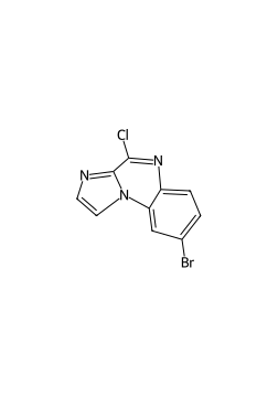 Clc1nc2ccc(Br)cc2n2ccnc12